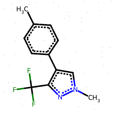 Cc1ccc(-c2cn(C)nc2C(F)(F)F)cc1